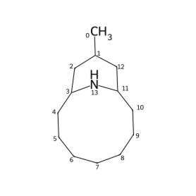 CC1CC2CCCCCCCC(C1)N2